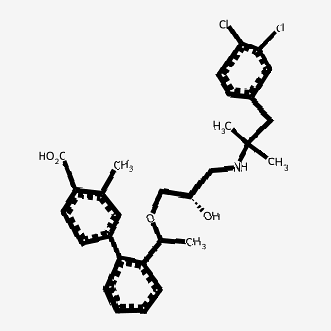 Cc1cc(-c2ccccc2C(C)OC[C@@H](O)CNC(C)(C)Cc2ccc(Cl)c(Cl)c2)ccc1C(=O)O